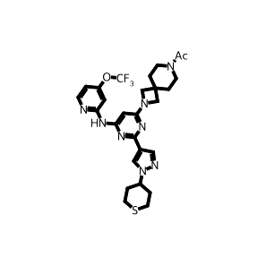 CC(=O)N1CCC2(CC1)CN(c1cc(Nc3cc(OC(F)(F)F)ccn3)nc(-c3cnn(C4CCSCC4)c3)n1)C2